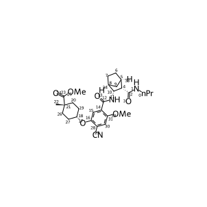 CCCNC(=O)[C@H]1[C@@H]2CC[C@@H](C2)[C@H]1NC(=O)c1cc(O[C@H]2CC[C@@](C)(C(=O)OC)CC2)c(C#N)cc1OC